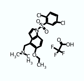 CCOc1ccc2c(ccn2S(=O)(=O)c2cc(Cl)ccc2Cl)c1CN(C)C.O=C(O)C(F)(F)F